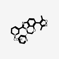 Cc1noc(C)c1-c1ccc2nc(C3=CCCN(C(=O)O)C3)n3c2c1OC[C@@H]3c1ccccn1